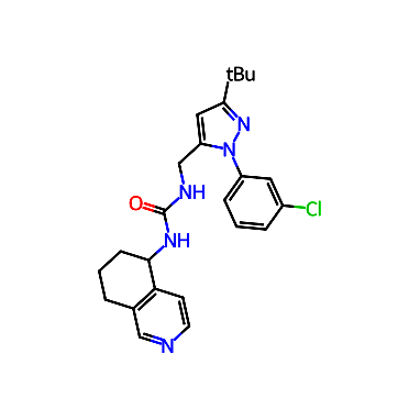 CC(C)(C)c1cc(CNC(=O)NC2CCCc3cnccc32)n(-c2cccc(Cl)c2)n1